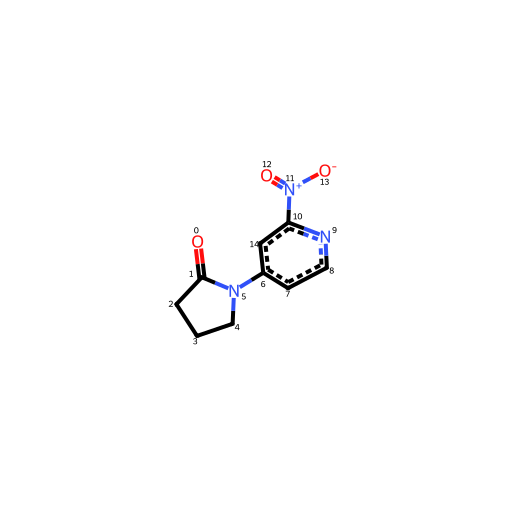 O=C1CCCN1c1ccnc([N+](=O)[O-])c1